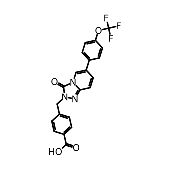 O=C(O)c1ccc(Cn2nc3ccc(-c4ccc(OC(F)(F)F)cc4)cn3c2=O)cc1